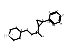 CN(CCC1CCNCC1)C1CC1c1ccccc1